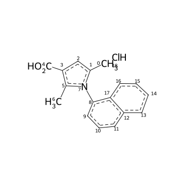 Cc1cc(C(=O)O)c(C)n1-c1cccc2ccccc12.Cl